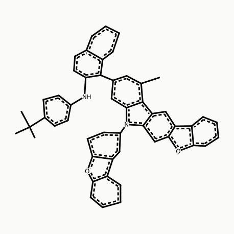 Cc1cc(-c2c(Nc3ccc(C(C)(C)C)cc3)ccc3ccccc23)cc2c1c1cc3c(cc1n2-c1ccc2oc4ccccc4c2c1)oc1ccccc13